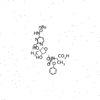 CCCCONc1ccn([C@@H]2O[C@H](COP(=O)(N[C@@H](C)C(=O)O)Oc3ccccc3)C(O)[C@@]2(C)O)c(=O)n1